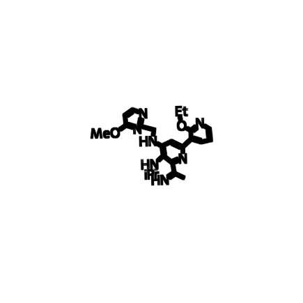 CCOc1ncccc1-c1cc(NCc2nccc(OC)n2)c(NC(C)C)c(C(C)=N)n1